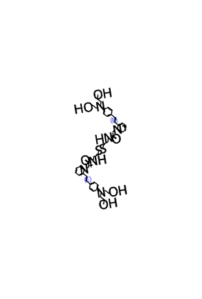 O=C(C[n+]1ccccc1/C=C/c1ccc(N(CCO)CCO)cc1)NCCSSCCNC(=O)C[n+]1ccccc1/C=C/c1ccc(N(CCO)CCO)cc1